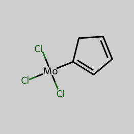 [Cl][Mo]([Cl])([Cl])[C]1=CC=CC1